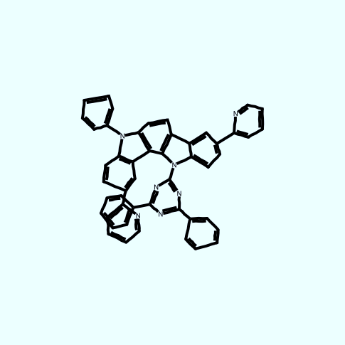 c1ccc(-c2nc(-c3ccccc3)nc(-n3c4ccc(-c5ccccn5)cc4c4ccc5c(c6cc(-c7ccccn7)ccc6n5-c5ccccc5)c43)n2)cc1